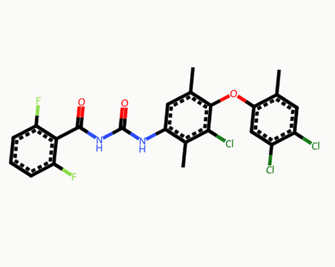 Cc1cc(Cl)c(Cl)cc1Oc1c(C)cc(NC(=O)NC(=O)c2c(F)cccc2F)c(C)c1Cl